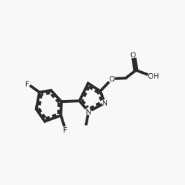 Cn1nc(OCC(=O)O)cc1-c1cc(F)ccc1F